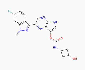 Cn1nc(-c2cnc3[nH]cc(OC(=O)N[C@H]4C[C@@H](O)C4)c3n2)c2ccc(F)cc21